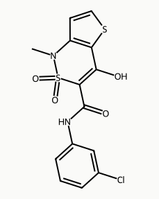 CN1c2ccsc2C(O)=C(C(=O)Nc2cccc(Cl)c2)S1(=O)=O